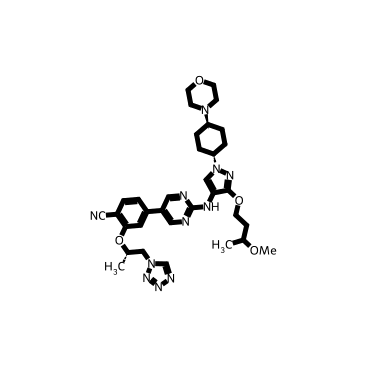 COC(C)CCOc1nn([C@H]2CC[C@H](N3CCOCC3)CC2)cc1Nc1ncc(-c2ccc(C#N)c(O[C@@H](C)Cn3cnnn3)c2)cn1